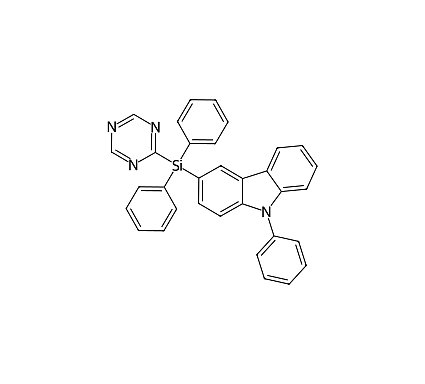 c1ccc(-n2c3ccccc3c3cc([Si](c4ccccc4)(c4ccccc4)c4ncncn4)ccc32)cc1